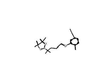 Cc1ccc(C)c(OCCCC(C)(C)B2OC(C)(C)C(C)(C)O2)c1